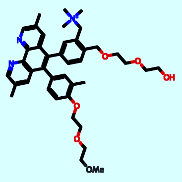 COCCOCCOc1ccc(-c2c(-c3ccc(COCCOCCO)c(C[N+](C)(C)C)c3)c3cc(C)cnc3c3ncc(C)cc23)cc1C